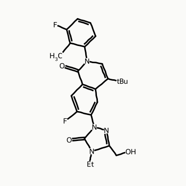 CCn1c(CO)nn(-c2cc3c(C(C)(C)C)cn(-c4cccc(F)c4C)c(=O)c3cc2F)c1=O